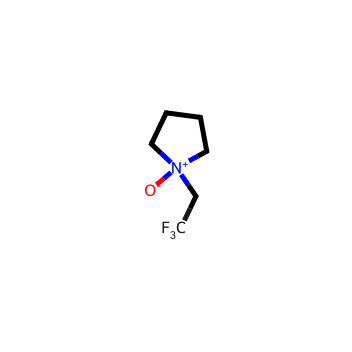 [O-][N+]1(CC(F)(F)F)CCCC1